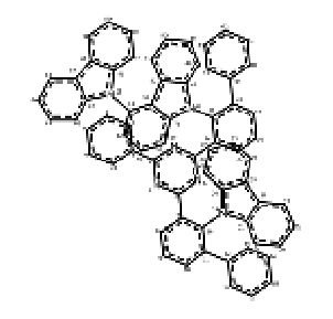 c1ccc(-c2nc(-c3cccc(-c4ccccc4)c3-n3c4ccccc4c4ccccc43)nc(-c3cccc(-c4ccccc4)c3-n3c4ccccc4c4c(-n5c6ccccc6c6ccccc65)cccc43)n2)cc1